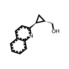 OC[C@H]1C[C@@H]1c1ccc2ccccc2n1